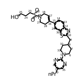 CCCc1cnc(N2CCC(Cc3nc4ccc(C5=CCN(S(=O)(=O)CCCO)CC5)cc4s3)CC2)nc1